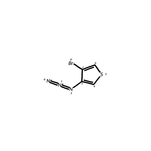 [N-]=[N+]=Nc1cscc1Br